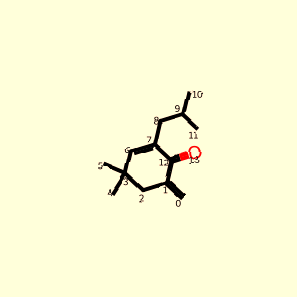 C=C1CC(C)(C)C=C(CC(C)C)C1=O